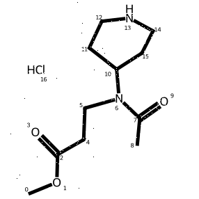 COC(=O)CCN(C(C)=O)C1CCNCC1.Cl